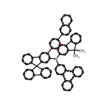 CC1(C)c2ccccc2-c2ccc(N(c3ccc4c5ccccc5c5ccccc5c4c3)c3cc4c(cc3-c3ccc(-c5ccc6ccccc6c5)cc3)-c3ccccc3C43c4ccccc4-c4ccccc43)cc21